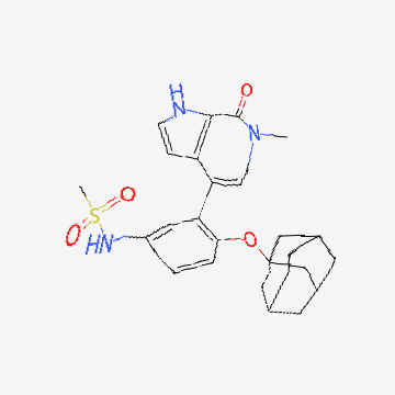 Cn1cc(-c2cc(NS(C)(=O)=O)ccc2OC23CC4CC(CC(C4)C2)C3)c2cc[nH]c2c1=O